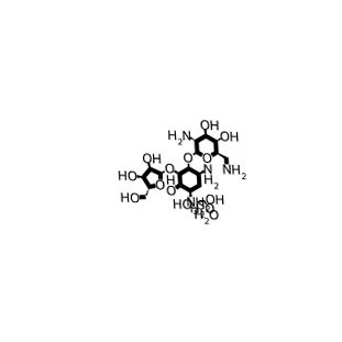 NC[C@H]1O[C@H](O[C@H]2[C@H](O[C@@H]3O[C@H](CO)[C@@H](O)[C@H]3O)C(O)[C@H](N)C[C@@H]2N)[C@H](N)[C@@H](O)[C@@H]1O.O.O.O=S(=O)(O)O